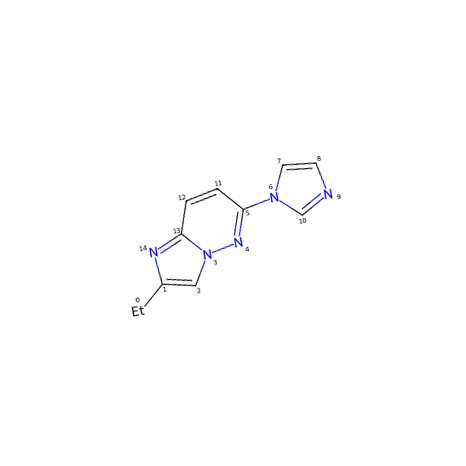 CCc1cn2nc(-n3ccnc3)ccc2n1